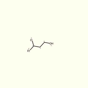 CCC(Cl)CCO